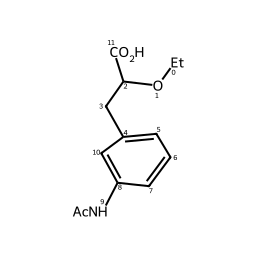 CCOC(Cc1cccc(NC(C)=O)c1)C(=O)O